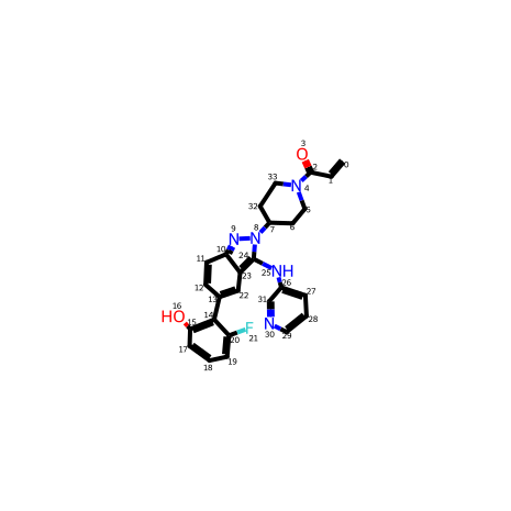 C=CC(=O)N1CCC(n2nc3ccc(-c4c(O)cccc4F)cc3c2Nc2cccnc2)CC1